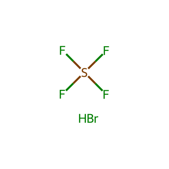 Br.FS(F)(F)F